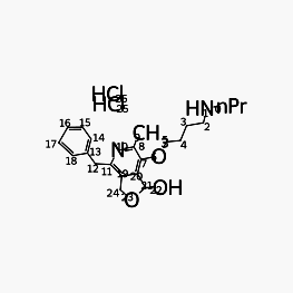 CCCNCCCCOc1c(C)nc(Cc2ccccc2)c2c1C(O)OC2.Cl.Cl